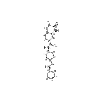 CC1Sc2ccc(C(=O)Nc3ccc(CNc4ccccc4)cc3)cc2NC1=O